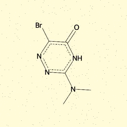 CN(C)c1nnc(Br)c(=O)[nH]1